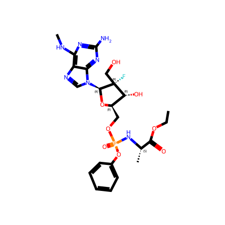 CCOC(=O)[C@H](C)NP(=O)(OC[C@H]1O[C@@H](n2cnc3c(NC)nc(N)nc32)[C@@](F)(CO)[C@@H]1O)Oc1ccccc1